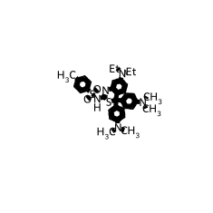 CCN(CC)c1ccc2c(c1)N=C(NS(=O)(=O)c1ccc(C)cc1)SC2(c1ccc(N(C)C)cc1)c1ccc(N(C)C)cc1